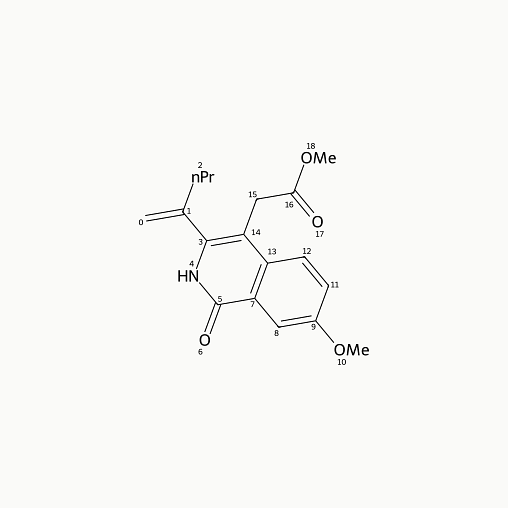 C=C(CCC)c1[nH]c(=O)c2cc(OC)ccc2c1CC(=O)OC